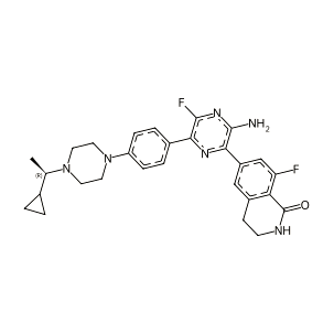 C[C@H](C1CC1)N1CCN(c2ccc(-c3nc(-c4cc(F)c5c(c4)CCNC5=O)c(N)nc3F)cc2)CC1